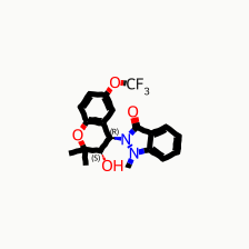 Cn1c2ccccc2c(=O)n1[C@@H]1c2cc(OC(F)(F)F)ccc2OC(C)(C)[C@H]1O